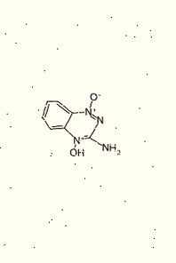 Nc1n[n+]([O-])c2ccccc2[n+]1O